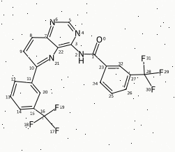 O=C(Nc1ncnc2ccc(-c3cccc(C(F)(F)F)c3)nc12)c1cccc(C(F)(F)F)c1